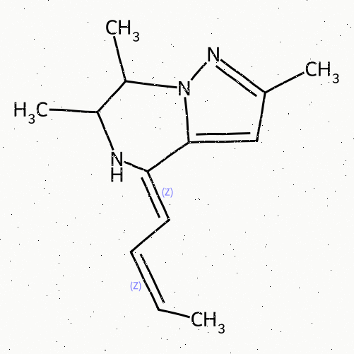 C/C=C\C=C1/NC(C)C(C)n2nc(C)cc21